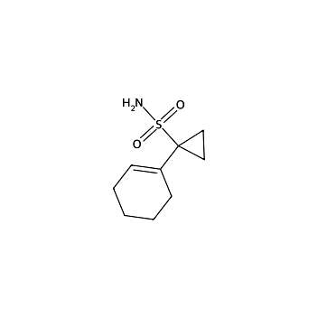 NS(=O)(=O)C1(C2=CCCCC2)CC1